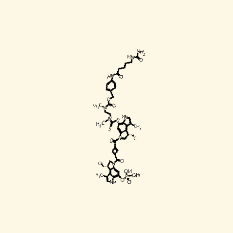 Cc1c[nH]c2c(OC(=S)N(C)CCN(C)C(=O)OCc3ccc(NC(=O)CCCCNC(N)=O)cc3)cc3c(c12)[C@H](CCl)CN3C(=O)C12CC(C(=O)N3C[C@@H](CCl)c4c3cc(OP(=O)(O)O)c3[nH]cc(C)c43)(C1)C2